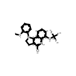 COc1ccccc1N1CCc2c(Cl)nc3c(OC(F)(F)F)cccc3c21